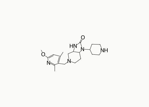 COc1cc(C)c(CN2CCC3C(C2)NC(=O)N3C2CCNCC2)c(C)n1